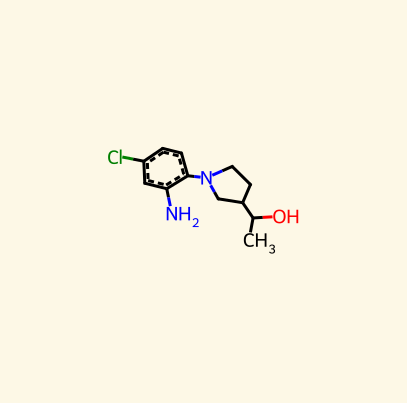 CC(O)C1CCN(c2ccc(Cl)cc2N)C1